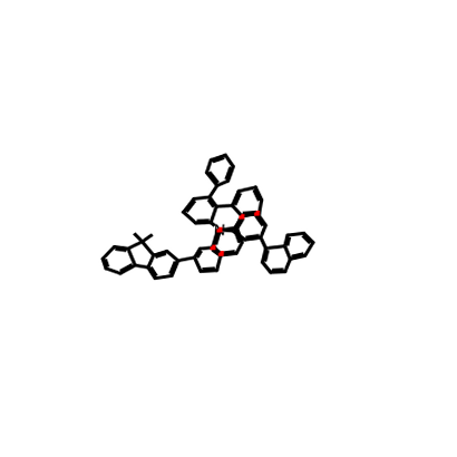 CC1(C)c2ccccc2-c2ccc(-c3cccc(N(c4cccc(-c5cccc6ccccc56)c4)c4cccc(-c5ccccc5)c4-c4ccccc4-c4ccccc4)c3)cc21